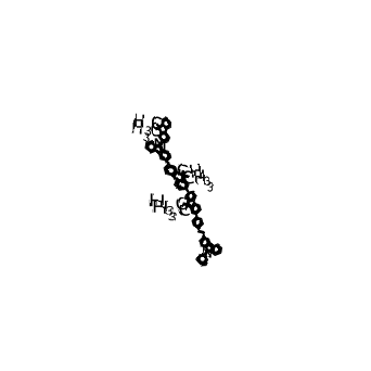 CC1(C)c2cc(-c3ccc(/C=C/c4ccc5c(c4)c4ccccc4n5-c4ccccc4)cc3)ccc2-c2ccc(-c3ccc4c(c3)C(C)(C)c3cc(-c5ccc6c(c5)c5ccccc5n6-c5ccc6c(c5)C(C)(C)c5ccccc5-6)ccc3-4)cc21